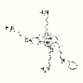 C[C@H](CCCN(C)Cc1ccccc1)C1CC[C@H]2C3[C@H](OCCCCN)CC4C[C@H](OCCCCN)CCC4(C)[C@H]3C[C@H](OCCCCN)C12C